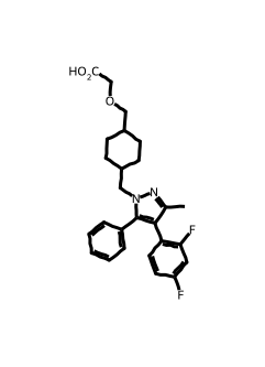 Cc1nn(CC2CCC(COCC(=O)O)CC2)c(-c2ccccc2)c1-c1ccc(F)cc1F